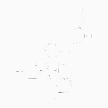 CC=CC(=O)N(CC)CCOc1ccccc1C(C)N(c1cc(F)ccc1F)S(=O)(=O)c1ccc(Cl)cc1